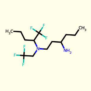 CCCC(N)CCN(CC(F)(F)F)C(CCC)C(F)(F)F